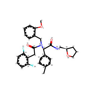 COc1ccccc1CN(C(=O)Cc1c(F)cccc1F)[C@@H](C(=O)NC[C@H]1CCCO1)c1ccc(C)cc1